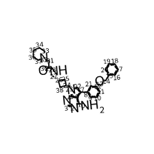 Nc1ncnc2c1c(-c1cccc(OCc3ccccc3)c1)cn2[C@H]1C[C@@H](CNC(=O)CN2CCCCC2)C1